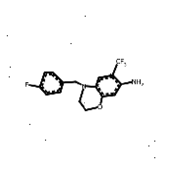 Nc1cc2c(cc1C(F)(F)F)N(Cc1ccc(F)cc1)CCO2